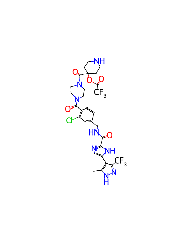 Cc1[nH]nc(C(F)(F)F)c1-c1cnc(C(=O)NCc2ccc(C(=O)N3CCN(C(=O)C4(OC(=O)C(F)(F)F)CCNCC4)CC3)c(Cl)c2)[nH]1